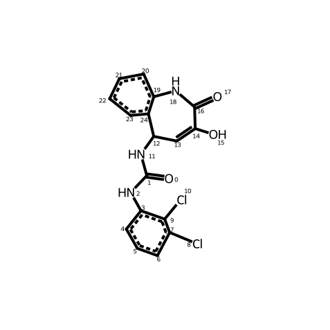 O=C(Nc1cccc(Cl)c1Cl)NC1C=C(O)C(=O)Nc2ccccc21